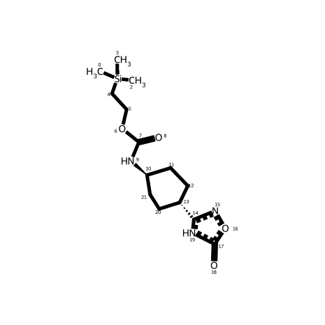 C[Si](C)(C)CCOC(=O)N[C@H]1CC[C@H](c2noc(=O)[nH]2)CC1